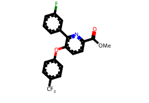 COC(=O)c1ccc(Oc2ccc(C(F)(F)F)cc2)c(-c2cccc(F)c2)n1